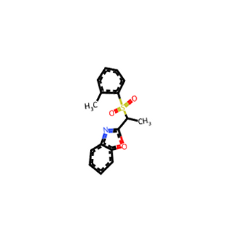 Cc1ccccc1S(=O)(=O)C(C)c1nc2ccccc2o1